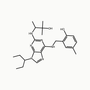 CCC(CC)n1cnc2c(NCc3cc(C)ccc3O)nc(NC(C)C(C)(C)O)nc21